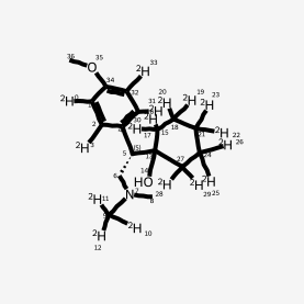 [2H]c1c([2H])c([C@@H](CN(C)C([2H])([2H])[2H])C2(O)C([2H])([2H])C([2H])([2H])C([2H])([2H])C([2H])([2H])C2([2H])[2H])c([2H])c([2H])c1OC